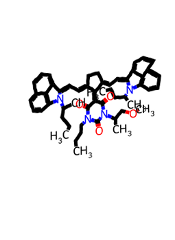 CCCCN1C(=O)C(=C2/C(=C/C=c3/c4cccc5cccc(c54)n3C(C)CCC)CC/C2=C\C=c2\c3cccc4cccc(c43)n2C(C)CCC)C(=O)N(C(C)COC)C1=O